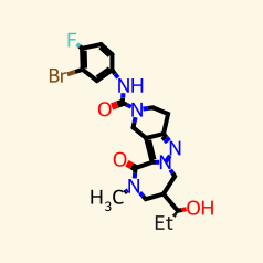 CC[C@H](O)C1CN(C)C(=O)c2c3c(nn2C1)CCN(C(=O)Nc1ccc(F)c(Br)c1)C3